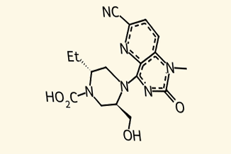 CC[C@@H]1CN(c2nc(=O)n(C)c3ccc(C#N)nc23)[C@@H](CO)CN1C(=O)O